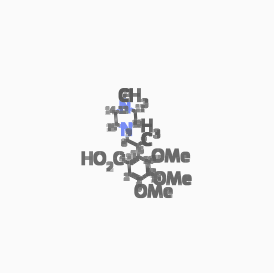 COc1cc(C(=O)O)c(C(C)CN2CCN(C)CC2)c(OC)c1OC